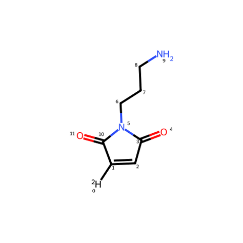 [2H]C1=CC(=O)N(CCCN)C1=O